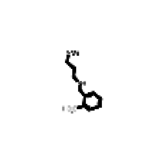 CNCCCNCc1ccccc1C(=O)O